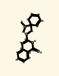 CN(C)C1(COc2nc3ccccc3c(=O)o2)C=CC=CC1